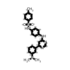 Cc1ccc(S(=O)(=O)Nc2ccc(Nc3cc(-c4cccc(N(C)C)c4)ncn3)cc2)cc1